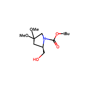 COC1(OC)C[C@H](CO)N(C(=O)OC(C)(C)C)C1